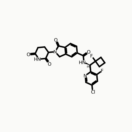 O=C1CCC(N2Cc3cc(C(=O)N[C@H](c4ncc(Cl)cc4F)C4(F)CCC4)ccc3C2=O)C(=O)N1